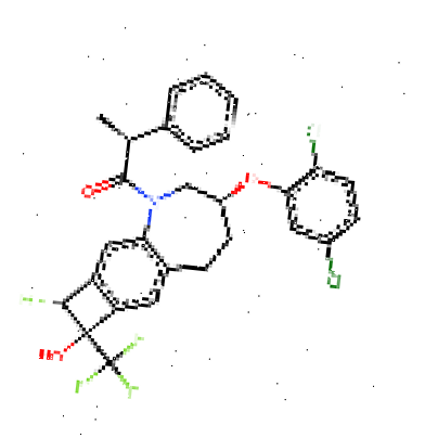 C[C@H](C(=O)N1C[C@@H](Oc2cc(Cl)ccc2Cl)CCc2cc3c(cc21)[C@@H](F)C3(O)C(F)(F)F)c1ccccc1